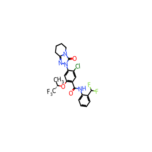 C[C@H](Oc1cc(-n2nc3n(c2=O)CCCC3)c(Cl)cc1C(=O)Nc1ccccc1C(F)F)C(F)(F)F